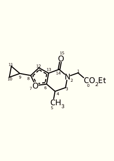 CCOC(=O)CN1CC(C)c2oc(C3CC3)cc2C1=O